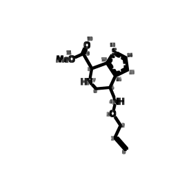 C=CCONC1CNC(C(=O)OC)c2sccc21